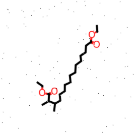 CCOC(=O)CCCCCCCCCCCCC(C)C(C)C(=O)OCC